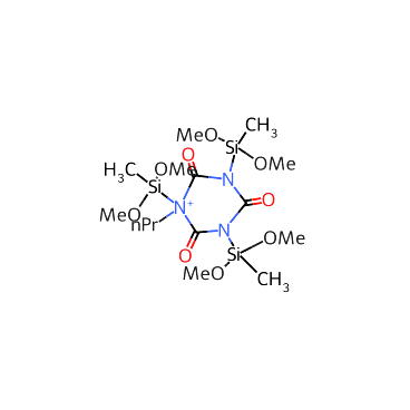 CCC[N+]1([Si](C)(OC)OC)C(=O)N([Si](C)(OC)OC)C(=O)N([Si](C)(OC)OC)C1=O